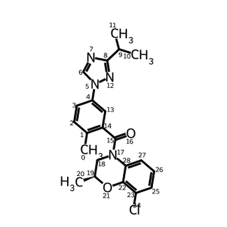 Cc1ccc(-n2cnc(C(C)C)n2)cc1C(=O)N1C[C@H](C)Oc2c(Cl)cccc21